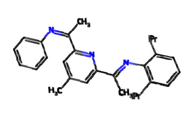 CC(=Nc1ccccc1)c1cc(C)cc(C(C)=Nc2c(C(C)C)cccc2C(C)C)n1